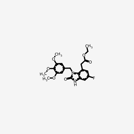 CCOC(=O)Cc1cc(F)cc2[nH]c(=O)n(Cc3cc(OC)c(OC)c(OC)c3)c12